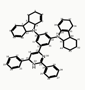 C1=CC2C3CCC=CC3N(c3cc(C4=CC(c5ccccc5)NC(c5ccccc5)=N4)cc(N4C5=C(CCC=C5)C5CCCCC54)c3)C2C=C1